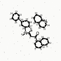 CN1C(=CC(=O)c2cccc3ccccc23)Sc2ccc(-c3ccccc3)cc21.c1ccc2ncccc2c1